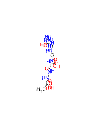 CC(=O)/C=C(/CC(=O)NCCNC(=O)CC[C@H](NC(=O)c1ccc(NCc2cnc3nc(N)nc(O)c3n2)cc1)C(=O)O)C(=O)O